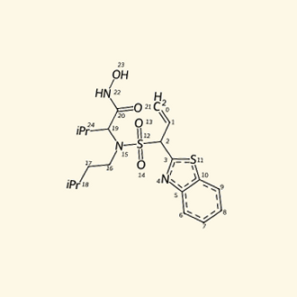 C=CC(c1nc2ccccc2s1)S(=O)(=O)N(CCC(C)C)C(C(=O)NO)C(C)C